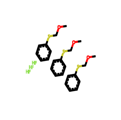 COCSc1ccccc1.COCSc1ccccc1.COCSc1ccccc1.F.F.F